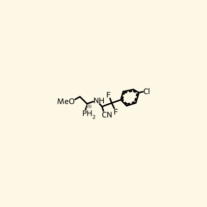 COC[C@H](P)NC(C#N)C(F)(F)c1ccc(Cl)cc1